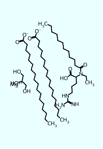 CCCCCCCCCCCC(=O)N(CC)C(CCCNC(=N)N)C(=O)O.CCCCCCCCCCCCCCCCCC(=O)[O-].CCCCCCCCCCCCCCCCCC(=O)[O-].OCC(O)CO.[Mg+2]